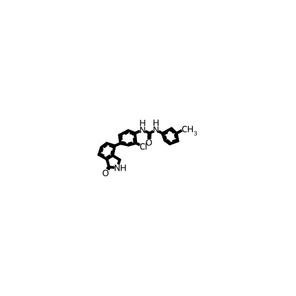 Cc1cccc(NC(=O)Nc2ccc(-c3cccc4c3CNC4=O)cc2Cl)c1